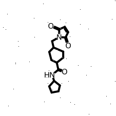 O=C(NC1CCCC1)C1CCC(CN2C(=O)C=CC2=O)CC1